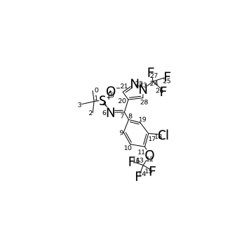 CC(C)(C)[S@@+]([O-])N=C(c1ccc(OC(F)(F)F)c(Cl)c1)c1cnn(C(F)(F)F)c1